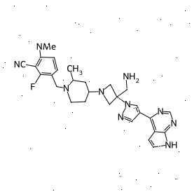 CNc1ccc(CN2CCC(N3CC(CN)(n4cc(-c5ncnc6[nH]ccc56)cn4)C3)CC2C)c(F)c1C#N